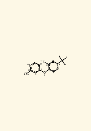 CC(C)(C)c1ccc(Oc2ccnc(Cl)c2)c(F)c1